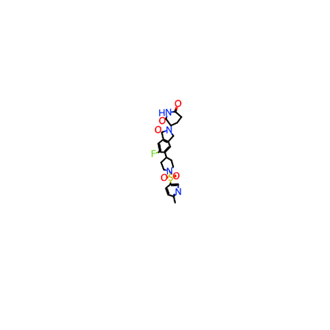 Cc1ccc(S(=O)(=O)N2CCC(c3cc4c(cc3F)C(=O)N(C3CCC(=O)NC3=O)C4)CC2)cn1